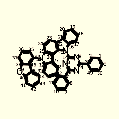 c1ccc(-c2nc(-c3ccccc3)nc(-n3c4ccccc4c4ccc5c(c6ccccc6n5-c5cccc6oc7ccccc7c56)c43)n2)cc1